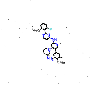 COc1cccc(F)c1-c1nccc(Nc2cc(N3CCC[C@H](N)C3)c(-c3cc(C)c(OC)c(C)c3)cn2)n1